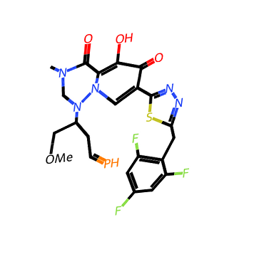 COCC(CC=P)N1CN(C)C(=O)c2c(O)c(=O)c(-c3nnc(Cc4c(F)cc(F)cc4F)s3)cn21